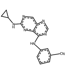 N#Cc1cccc(Nc2ncnc3cnc(NC4CC4)nc23)c1